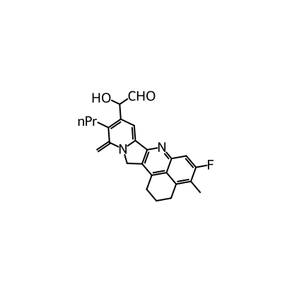 C=C1C(CCC)=C(C(O)C=O)C=C2c3nc4cc(F)c(C)c5c4c(c3CN12)CCC5